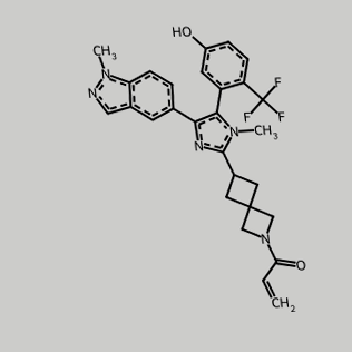 C=CC(=O)N1CC2(CC(c3nc(-c4ccc5c(cnn5C)c4)c(-c4cc(O)ccc4C(F)(F)F)n3C)C2)C1